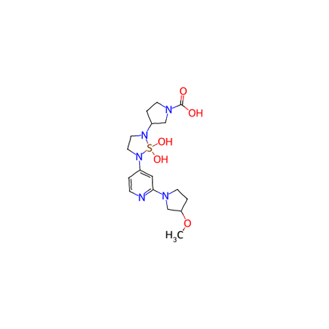 COC1CCN(c2cc(N3CCN(C4CCN(C(=O)O)C4)S3(O)O)ccn2)C1